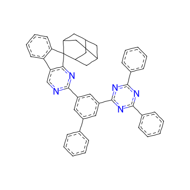 c1ccc(-c2cc(-c3nc(-c4ccccc4)nc(-c4ccccc4)n3)cc(-c3ncc4c(n3)C3(c5ccccc5-4)C4CC5CC(C4)CC3C5)c2)cc1